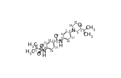 CC(C)C1CN(c2ccc(NC(=O)c3ccc(NS(=O)(=O)C(C)C)cc3)cc2)CCO1